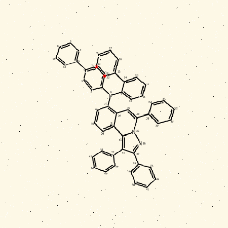 c1ccc(-c2ccc(N(c3ccccc3-c3ccccc3)c3cccc4c3cc(-c3ccccc3)n3nc(-c5ccccc5)c(-c5ccccc5)c43)cc2)cc1